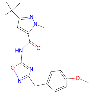 COc1ccc(Cc2noc(NC(=O)c3cc(C(C)(C)C)nn3C)n2)cc1